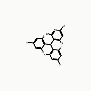 Clc1cc(Cl)c(C(c2c(Cl)cc(Cl)cc2Cl)c2c(Cl)cc(Cl)nc2Cl)c(Cl)c1